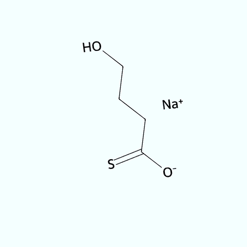 [Na+].[O-]C(=S)CCCO